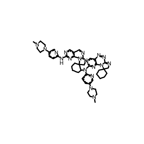 CN1CCN(c2ccc(Nc3ncc4c(n3)N3C(=NCC35CCCCC5N(c3ccc(N5CCN(C)CC5)cn3)c3ncc5c(n3)N3C(=NCC36CCCCC6)N=N5)N=C4)nc2)CC1